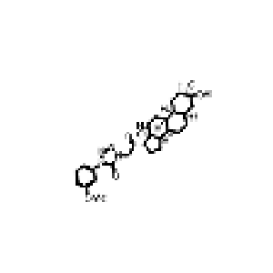 COc1cccc(-n2nnn(CC(=O)[C@H]3CC[C@H]4[C@@H]5CC[C@@H]6C[C@](C)(O)CC[C@@H]6[C@H]5CC[C@]34C)c2=O)c1